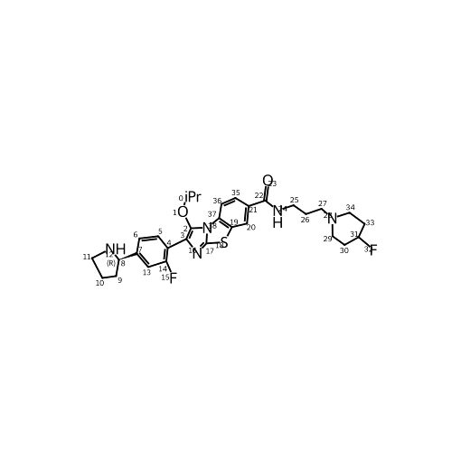 CC(C)Oc1c(-c2ccc([C@H]3CCCN3)cc2F)nc2sc3cc(C(=O)NCCCN4CCC(F)CC4)ccc3n12